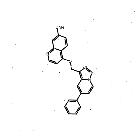 COc1ccc2c(OCc3nnn4ccc(-c5ccccc5)cc34)ccnc2c1